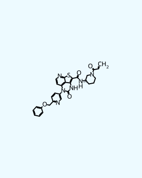 C=CC(=O)N1CCC[C@@H](NC(=O)c2sc3nccc4c3c2NC(=O)N4c2ccc(COc3ccccc3)nc2)C1